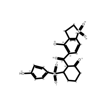 O=C1CCCC(S(=O)(=O)c2ccc(O)cc2)C1C(=O)c1ccc2c(c1Cl)CCS2(=O)=O